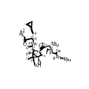 CC(=O)C(=O)[C@H](CC1CC1)NC(=O)[C@@H]1[C@@H]2[C@H](CN1C(=O)[C@@H](NC(=O)NC(C)(C)C)C(C)(C)C)C2(C)C